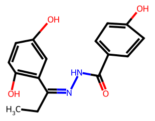 CCC(=NNC(=O)c1ccc(O)cc1)c1cc(O)ccc1O